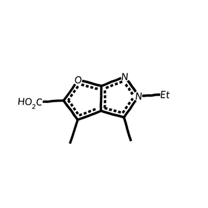 CCn1nc2oc(C(=O)O)c(C)c2c1C